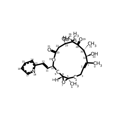 C/C1=C\CC[C@@]2(C)O[C@@H]2C[C@@H](C=Cc2ccccn2)OC(=O)C[C@H](O)C(C)(C)C(=O)[C@H](C)[C@H]1O